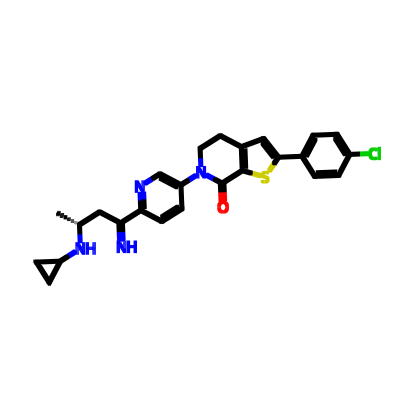 C[C@H](CC(=N)c1ccc(N2CCc3cc(-c4ccc(Cl)cc4)sc3C2=O)cn1)NC1CC1